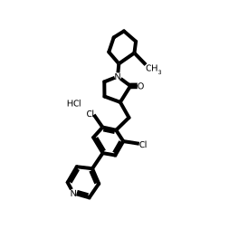 CC1CCCCC1N1CCC(Cc2c(Cl)cc(-c3ccncc3)cc2Cl)C1=O.Cl